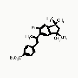 CCOC(=O)c1ccc(C=C(C)c2cc3c(cc2CC)C(C)(C)CC3(C)C)cc1